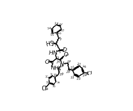 NC(=O)C(NC(=O)C(S)Cc1ccccc1)C(=O)N(CCc1ccc(Cl)cc1)CCc1ccc(Cl)cc1